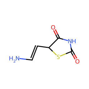 NC=CC1SC(=O)NC1=O